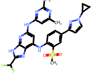 Cc1cc(Nc2cc(Nc3ccc(-c4ccn(C5CC5)n4)cc3S(C)(=O)=O)c3nc(C(F)F)[nH]c3n2)nc(C)n1